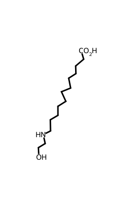 O=C(O)CCCCCCCCCCCNCCO